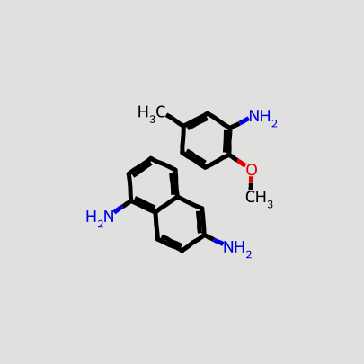 COc1ccc(C)cc1N.Nc1ccc2c(N)cccc2c1